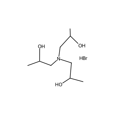 Br.CC(O)CN(CC(C)O)CC(C)O